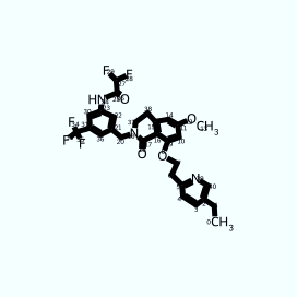 CCc1ccc(CCOc2cc(OC)cc3c2C(=O)N(Cc2cc(NC(=O)C(F)F)cc(C(F)(F)F)c2)CC3)nc1